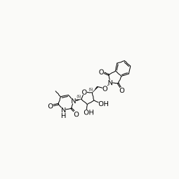 Cc1cn([C@H]2O[C@@H](CON3C(=O)c4ccccc4C3=O)C(O)C2O)c(=O)[nH]c1=O